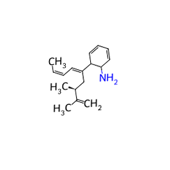 C=C(C)[C@@H](C)C/C(=C\C=C/C)C1C=CC=CC1N